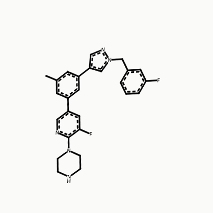 Cc1[c]c(-c2cnn(Cc3cccc(F)c3)c2)cc(-c2cnc(N3CCNCC3)c(F)c2)c1